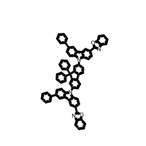 c1ccc(-c2ccc3c(c2)c2cc(-c4nc5ccccc5o4)ccc2n3-c2ccc3c(c2)C(c2ccccc2)(c2ccccc2)c2cc(-n4c5ccc(-c6ccccc6)cc5c5cc(-c6nc7ccccc7o6)ccc54)ccc2-3)cc1